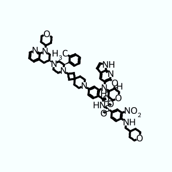 Cc1ccccc1[C@@H]1CN([C@H]2Cc3cccnc3N(C3CCOCC3)C2)CCN1C1CC2(CCN(c3ccc(C(=O)NS(=O)(=O)c4ccc(NCC5CCOCC5)c([N+](=O)[O-])c4)c(N4c5cc6cc[nH]c6nc5O[C@H]5COCC[C@@H]54)c3)CC2)C1